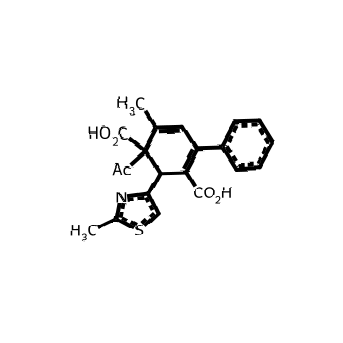 CC(=O)C1(C(=O)O)C(C)=CC(c2ccccc2)=C(C(=O)O)C1c1csc(C)n1